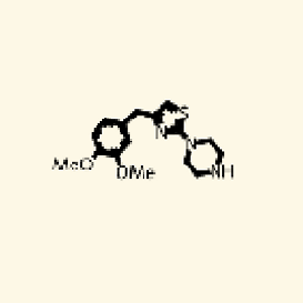 COc1ccc(Cc2csc(N3CCNCC3)n2)cc1OC